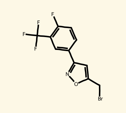 Fc1ccc(-c2cc(CBr)on2)cc1C(F)(F)F